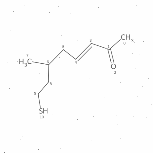 CC(=O)C=CCC(C)CCS